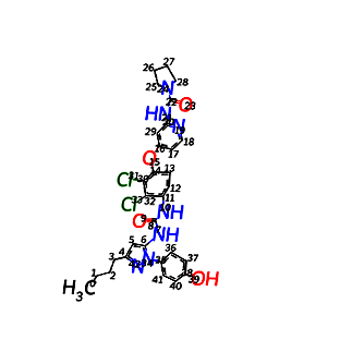 CCCCc1cc(NC(=O)Nc2ccc(Oc3ccnc(NC(=O)N4CCCC4)c3)c(Cl)c2Cl)n(-c2ccc(O)cc2)n1